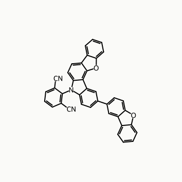 N#Cc1cccc(C#N)c1-n1c2ccc(-c3ccc4oc5ccccc5c4c3)cc2c2c3oc4ccccc4c3ccc21